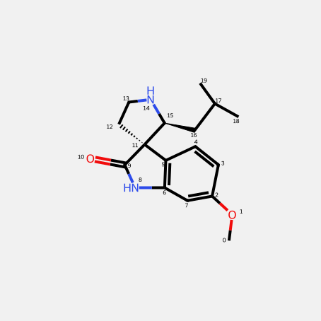 COc1ccc2c(c1)NC(=O)[C@]21CCN[C@H]1CC(C)C